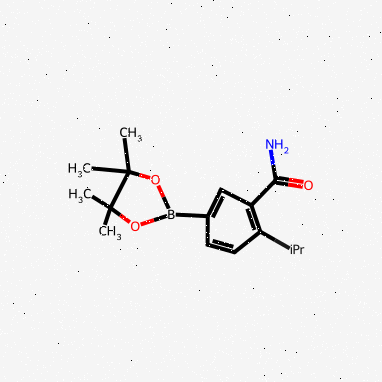 CC(C)c1ccc(B2OC(C)(C)C(C)(C)O2)cc1C(N)=O